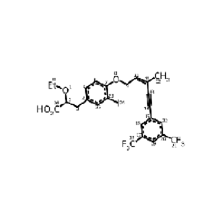 CCO[C@@H](Cc1ccc(OC/C=C(/C)C#Cc2cc(C(F)(F)F)cc(C(F)(F)F)c2)c(I)c1)C(=O)O